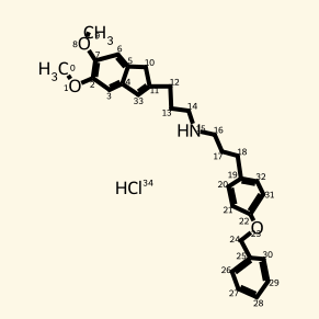 COc1cc2c(cc1OC)CC(CCCNCCCc1ccc(OCc3ccccc3)cc1)=C2.Cl